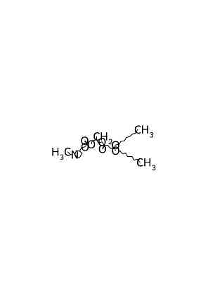 [CH2]C(COC(=O)CCC(OCCCCCCCC)OCCCCCCCC)COC(=O)OCC1CCCN(CC)C1